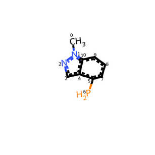 Cn1ncc2c(P)cccc21